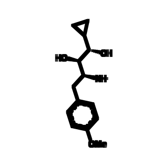 COc1ccc(C[C@H]([NH])[C@@H](O)[C@@H](O)C2CC2)cc1